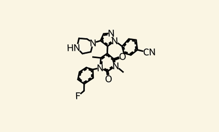 Cc1c(-c2c(N3CCNCC3)cnn2-c2ccc(C#N)cc2)c(=O)n(C)c(=O)n1-c1cccc(CF)c1